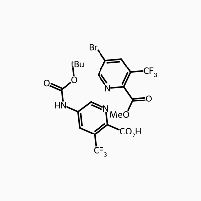 CC(C)(C)OC(=O)Nc1cnc(C(=O)O)c(C(F)(F)F)c1.COC(=O)c1ncc(Br)cc1C(F)(F)F